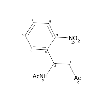 CC(=O)CC(NC(C)=O)c1ccccc1[N+](=O)[O-]